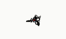 CS(=O)(=O)NC(=O)[C@@]12C[C@H]1/C=C\CCCCC[C@H](NC(=O)OC1CCCC1)C(=O)N1C[C@H](OC(=O)N3CCc4ccccc4C3)C[C@H]1C(=O)N2